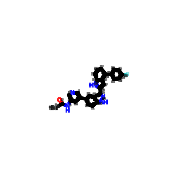 CC(C)(C)C(=O)Nc1cncc(-c2ccc3[nH]nc(-c4cc5c(-c6ccc(F)cc6)cccc5[nH]4)c3c2)c1